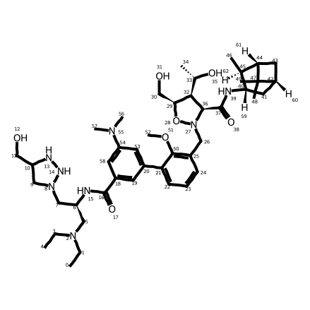 CCN(CC)C[C@@H](CN1CC(CO)NN1)NC(=O)c1cc(-c2cccc(CN3O[C@@H](CO)[C@@H]([C@H](C)O)[C@H]3C(=O)N[C@H]3C[C@H]4C[C@@H]([C@@H]3C)C4(C)C)c2OC)cc(N(C)C)c1